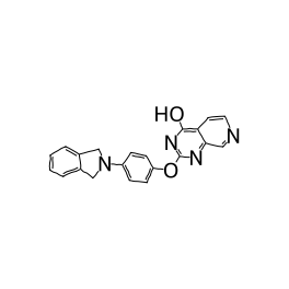 Oc1nc(Oc2ccc(N3Cc4ccccc4C3)cc2)nc2cnccc12